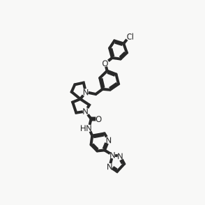 O=C(Nc1ccc(-n2nccn2)nc1)N1CCC2(CCCN2Cc2cccc(Oc3ccc(Cl)cc3)c2)C1